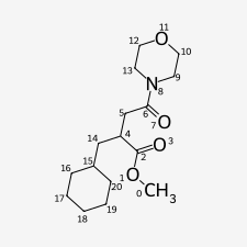 COC(=O)C(CC(=O)N1CCOCC1)CC1CCCCC1